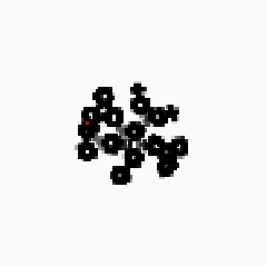 CC(C)(C)c1ccc2c(c1)c1cc(C(C)(C)C)ccc1n2-c1cc2c3c(c1)N(c1ccc4c5ccccc5c5ccccc5c4c1)c1cc(-n4c5ccccc5c5ccccc54)ccc1B3c1cc(-c3ccccc3)ccc1N2c1ccc2c3ccccc3c3ccccc3c2c1